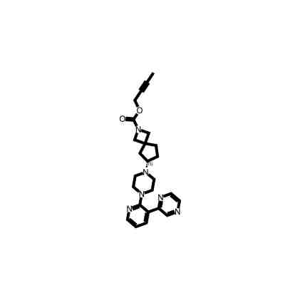 CC#CCOC(=O)N1CC2(CC[C@H](N3CCN(c4ncccc4-c4cnccn4)CC3)C2)C1